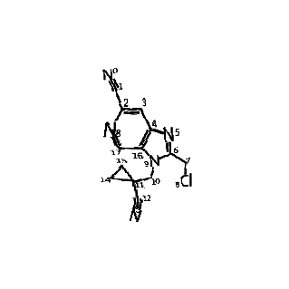 N#Cc1cc2nc(CCl)n(CC3(C#N)CC3)c2cn1